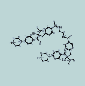 CCC(Cc1ccc(C(C)NCCNC(C)c2ccc(CC(CC)(C(=O)c3ccc(N4CCNCC4)cc3)N(C)C)cc2)cc1)(C(=O)c1ccc(N2CCNCC2)cc1)N(C)C